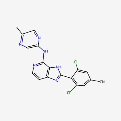 Cc1cnc(Nc2nccc3nc(-c4c(Cl)cc(C#N)cc4Cl)[nH]c23)cn1